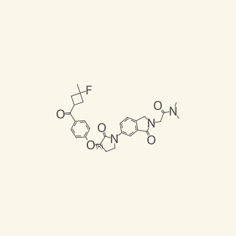 CN(C)C(=O)CN1Cc2ccc(N3CC[C@@H](Oc4ccc(C(=O)C5CC(C)(F)C5)cc4)C3=O)cc2C1=O